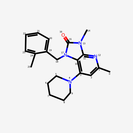 Cc1cc(N2CCCCC2)c2c(n1)n(C)c(=O)n2Cc1ccccc1C